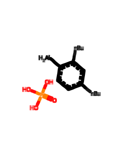 CCCCc1cc[c]([AlH2])c(CCCC)c1.O=P(O)(O)O